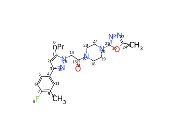 CCCc1cc(-c2ccc(F)c(C)c2)nn1CC(=O)N1CCN(c2nnc(C)o2)CC1